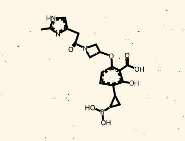 Cc1nc(CC(=O)N2CC(Oc3ccc(C4CC4B(O)O)c(O)c3C(=O)O)C2)c[nH]1